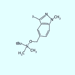 Cn1nc(I)c2cc(CO[Si](C)(C)C(C)(C)C)ccc21